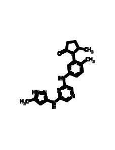 Cc1cc(Nc2cncc(Nc3ccc(C)c(N4C(=O)CCC4C)c3)n2)n[nH]1